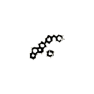 C1=C(c2ccc(CC3CCNCC3)cc2)Cc2ccc3c(c2C1)CCc1ccccc1-3.c1cncnc1